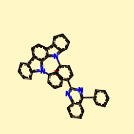 c1ccc(-c2nc(-c3ccc(-n4c5ccccc5c5ccc6c7ccccc7n(-c7ccccc7)c6c54)cc3)nc3ccccc23)cc1